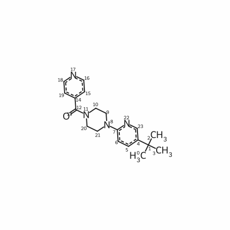 CC(C)(C)c1ccc(N2CCN(C(=O)c3ccncc3)CC2)nc1